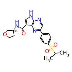 CC(C)S(=O)(=O)c1ccc(-c2cnc3[nH]cc(C(=O)N[C@@H]4CCOC4)c3n2)cc1